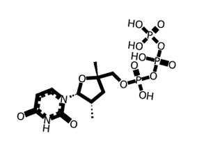 C[C@H]1C[C@@](C)(COP(=O)(O)OP(=O)(O)OP(=O)(O)O)O[C@H]1n1ccc(=O)[nH]c1=O